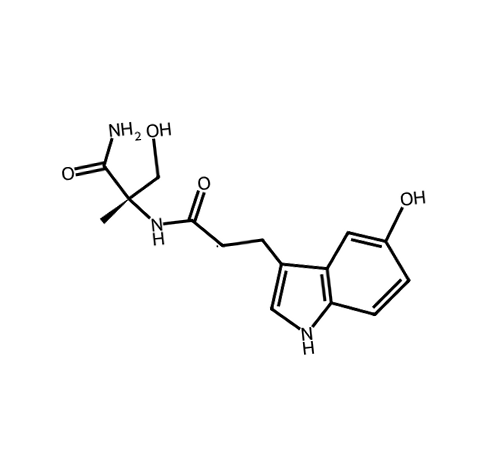 C[C@@](CO)(NC(=O)[CH]Cc1c[nH]c2ccc(O)cc12)C(N)=O